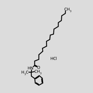 CCCCCCCCCCCCCCCCCC(=O)NC(C)(C)Cc1ccccc1.Cl